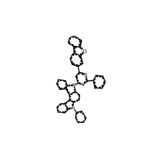 c1ccc(-c2nc(-c3ccc4c(c3)oc3ccccc34)cc(-n3c4ccccc4c4c5c6ccccc6n(-c6ccccc6)c5ccc43)n2)cc1